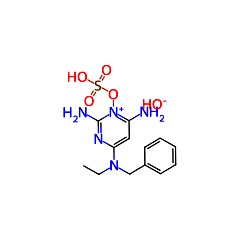 CCN(Cc1ccccc1)c1cc(N)[n+](OS(=O)(=O)O)c(N)n1.[OH-]